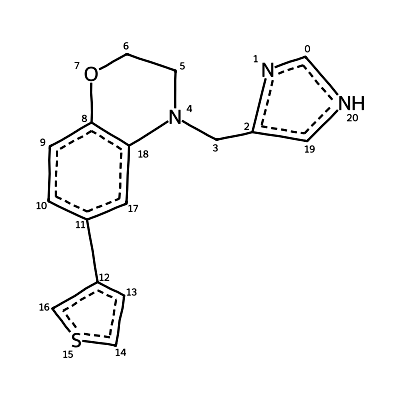 c1nc(CN2CCOc3ccc(-c4ccsc4)cc32)c[nH]1